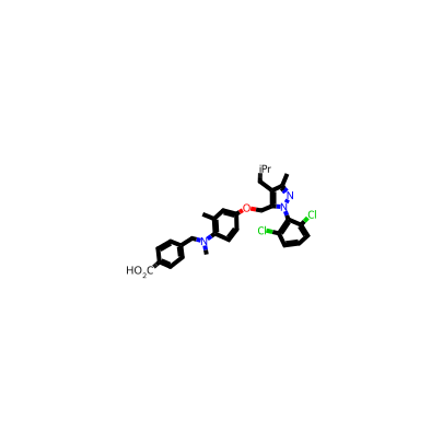 Cc1cc(OCc2c(CC(C)C)c(C)nn2-c2c(Cl)cccc2Cl)ccc1N(C)Cc1ccc(C(=O)O)cc1